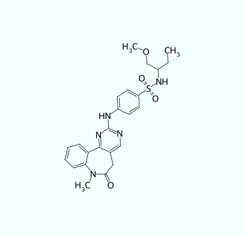 CCC(COC)NS(=O)(=O)c1ccc(Nc2ncc3c(n2)-c2ccccc2N(C)C(=O)C3)cc1